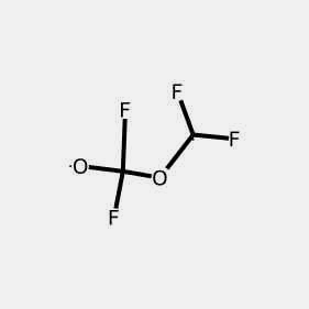 [O]C(F)(F)O[C](F)F